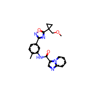 COCC1(c2nc(-c3ccc(C)c(NC(=O)c4cnc5ccccn45)c3)no2)CC1